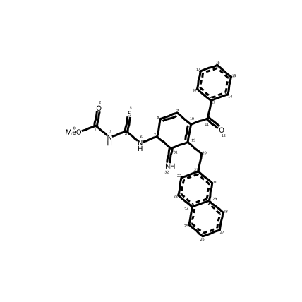 COC(=O)NC(=S)NC1C=CC(C(=O)c2ccccc2)=C(Cc2ccc3ccccc3c2)C1=N